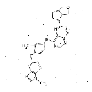 Cc1cc(Nc2ncnc3cnc(N4CCC5COCC54)nc23)ccc1Oc1ccc2c(c1)ncn2C